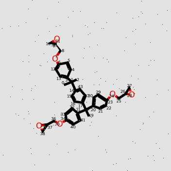 CC(C)(c1ccc(OC[C@H]2CO2)cc1)c1ccc(C(C)(c2ccc(OCC3CO3)cc2)c2ccc(OCC3CO3)cc2)cc1